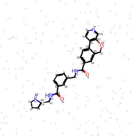 O=C(NCc1cccc(C(=O)NC[C@H]2CCCN2)c1)c1ccc2c(c1)COc1cnccc1-2